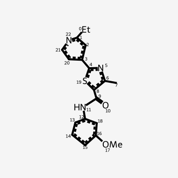 CCc1cc(-c2nc(C)c(C(=O)Nc3cccc(OC)c3)s2)ccn1